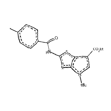 CCOC(=O)c1cn(C(C)(C)C)c2nc(NC(=O)c3ccc(C)cc3)sc12